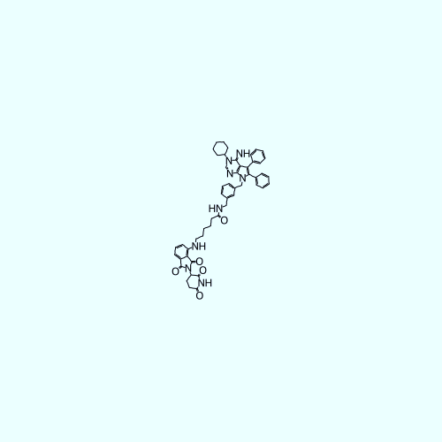 N=c1c2c(-c3ccccc3)c(-c3ccccc3)n(Cc3cccc(CNC(=O)CCCCCNc4cccc5c4C(=O)N(C4CCC(=O)NC4=O)C5=O)c3)c2ncn1C1CCCCC1